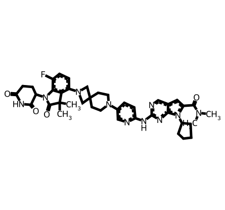 CN(C)C(=O)c1cc2cnc(Nc3ccc(N4CCC5(CC4)CN(c4ccc(F)c6c4C(C)(C)C(=O)N6C4CCC(=O)NC4=O)C5)cn3)nc2n1C1CCCC1